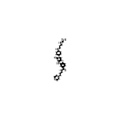 N=CNCCCNC1CCC(n2cc3c(nc2=O)Nc2cc(C(=O)NCCCN4CCOCC4)ccc2O3)CC1